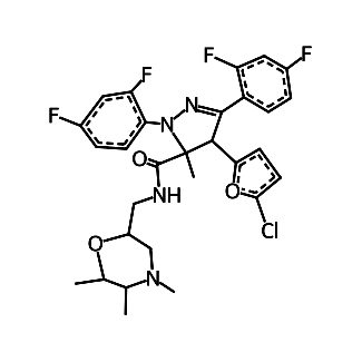 CC1OC(CNC(=O)C2(C)C(c3ccc(Cl)o3)C(c3ccc(F)cc3F)=NN2c2ccc(F)cc2F)CN(C)C1C